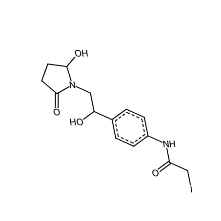 O=C(CI)Nc1ccc(C(O)CN2C(=O)CCC2O)cc1